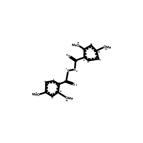 COc1ccc(C(=S)SSC(=S)c2ccc(OC)cc2OC)c(OC)c1